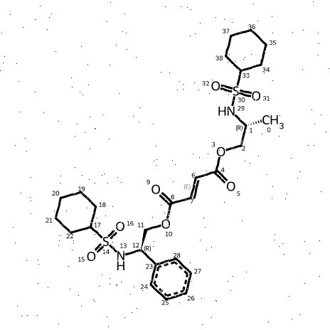 C[C@H](COC(=O)/C=C/C(=O)OC[C@H](NS(=O)(=O)C1CCCCC1)c1ccccc1)NS(=O)(=O)C1CCCCC1